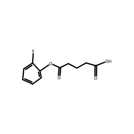 O=C(O)CCCC(=O)Oc1ccccc1F